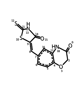 O=C1COc2ccc(C=C3SC(=S)NC3=O)cc2N1